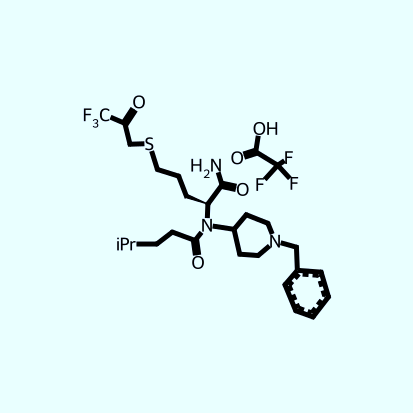 CC(C)CCC(=O)N(C1CCN(Cc2ccccc2)CC1)[C@@H](CCCSCC(=O)C(F)(F)F)C(N)=O.O=C(O)C(F)(F)F